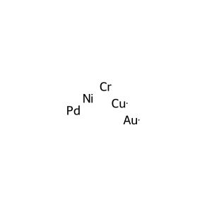 [Au].[Cr].[Cu].[Ni].[Pd]